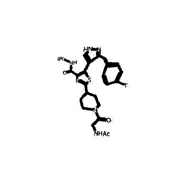 CC(=O)NCC(=O)N1CCC(c2nc(C(=O)NC(C)C)c(-c3c[nH]nc3-c3ccc(F)cc3)s2)CC1